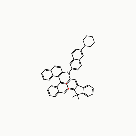 CC1(C)c2ccccc2-c2cc(N(c3ccc4cc(C5CCCCC5)ccc4c3)c3ccc4ccccc4c3-c3cccc4ccccc34)ccc21